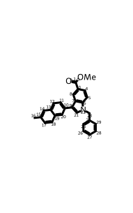 COC(=O)c1ccc2c(c1)c(-c1ccc3cc(C)ccc3c1)cn2Cc1ccccc1